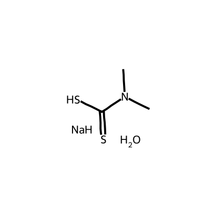 CN(C)C(=S)S.O.[NaH]